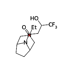 CCN1CC2CCC(C1)N2C(=O)CC(O)C(F)(F)F